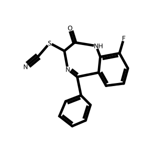 N#CSC1N=C(c2ccccc2)c2cccc(F)c2NC1=O